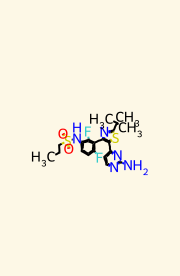 CCCS(=O)(=O)Nc1ccc(F)c(-c2nc(C(C)(C)C)sc2-c2ccnc(N)n2)c1F